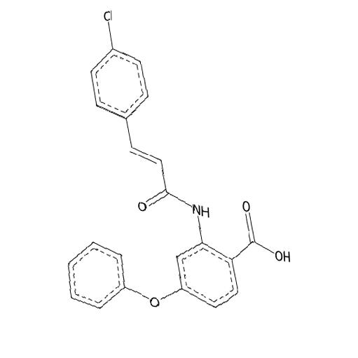 O=C(/C=C/c1ccc(Cl)cc1)Nc1cc(Oc2ccccc2)ccc1C(=O)O